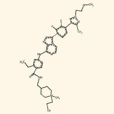 CCc1cc(Nc2nccn3c(-c4ccc(-c5cn(CCOC)nc5C)c(F)c4F)cnc23)ccc1C(=O)NCC1CC[N+](C)(CCO)CC1